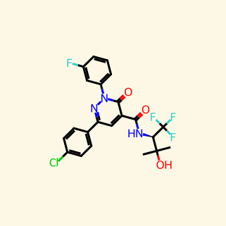 CC(C)(O)[C@@H](NC(=O)c1cc(-c2ccc(Cl)cc2)nn(-c2cccc(F)c2)c1=O)C(F)(F)F